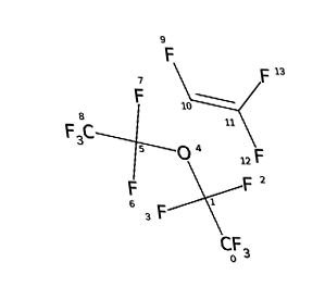 FC(F)(F)C(F)(F)OC(F)(F)C(F)(F)F.FC=C(F)F